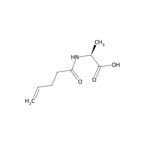 C=CCCC(=O)N[C@@H](C)C(=O)O